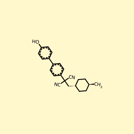 C[C@H]1CC[C@H](CC(C#N)(C#N)c2ccc(-c3ccc(O)cc3)cc2)CC1